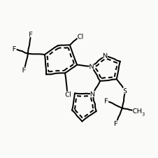 CC(F)(F)Sc1cnn(-c2c(Cl)cc(C(F)(F)F)cc2Cl)c1-n1cccc1